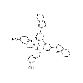 Oc1ccc2cc(C3(c4ccc5cc(O)ccc5c4)c4ccc(-c5ccc6ccccc6c5)cc4-c4cc(-c5ccc6ccccc6c5)ccc43)ccc2c1